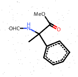 COC(=O)C(C)(N[C]=O)c1ccccc1